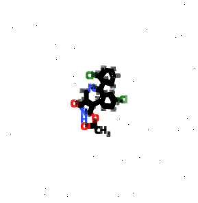 CC(=O)OC1NC(=O)C2=C1c1ccc(Cl)cc1C(c1ccccc1Cl)=NC2